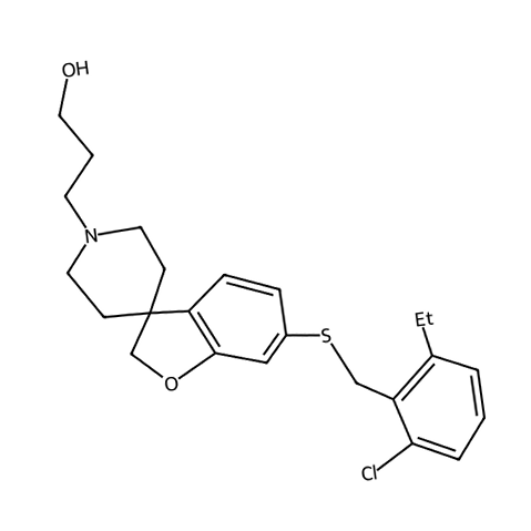 CCc1cccc(Cl)c1CSc1ccc2c(c1)OCC21CCN(CCCO)CC1